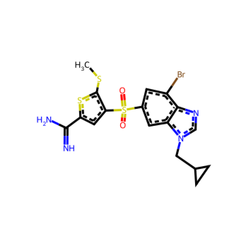 CSc1sc(C(=N)N)cc1S(=O)(=O)c1cc(Br)c2ncn(CC3CC3)c2c1